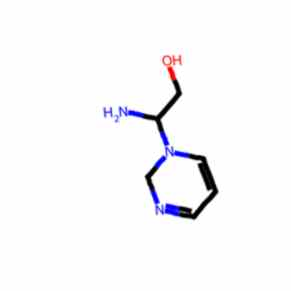 NC(CO)N1C=CC=NC1